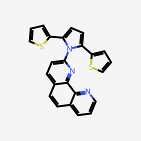 c1csc(-c2ccc(-c3cccs3)n2-c2ccc3ccc4cccnc4c3n2)c1